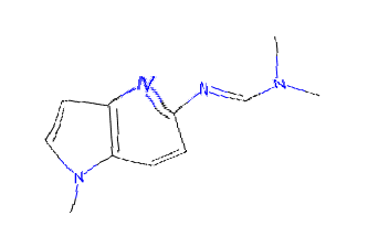 CN(C)C=Nc1ccc2c(ccn2C)n1